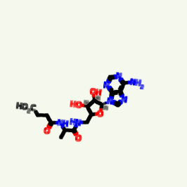 CC(NC(=O)CCC(=O)O)C(=O)NCC1O[C@@H](n2cnc3c(N)ncnc32)[C@H](O)[C@@H]1O